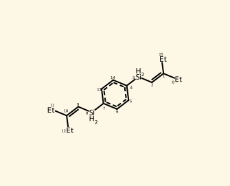 CCC(=C[SiH2]c1ccc([SiH2]C=C(CC)CC)cc1)CC